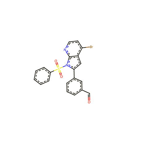 O=Cc1cccc(-c2cc3c(Br)ccnc3n2S(=O)(=O)c2ccccc2)c1